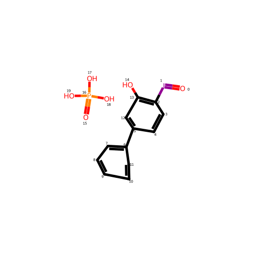 O=Ic1ccc(-c2ccccc2)cc1O.O=P(O)(O)O